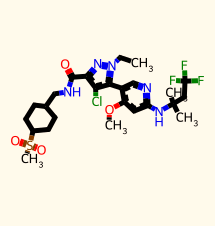 CCn1nc(C(=O)NCC2CCC(S(C)(=O)=O)CC2)c(Cl)c1-c1cnc(NC(C)(C)CC(F)(F)F)cc1OC